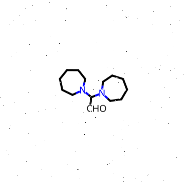 O=CC(N1CCCCCC1)N1CCCCCC1